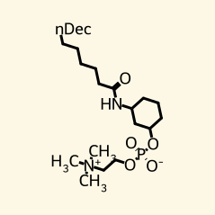 CCCCCCCCCCCCCCCC(=O)NC1CCCC(OP(=O)([O-])OCC[N+](C)(C)C)C1